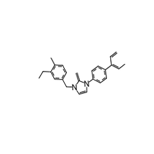 C=C/C(=C\C)c1ccc(N2C=CN(Cc3ccc(C)c(CC)c3)C2=C)cc1